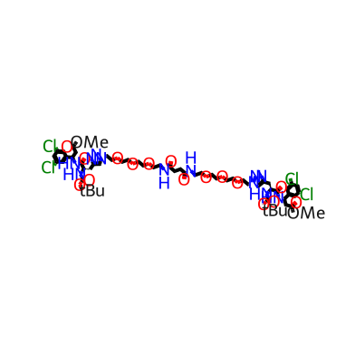 COC(=O)CC(NC(=O)[C@H](Cc1cn(CCOCCOCCOCCNC(=O)CCC(=O)NCCOCCOCCOCCn2cc(C[C@H](NC(=O)OC(C)(C)C)C(=O)NC(CC(=O)OC)c3cc(Cl)cc(Cl)c3)nn2)nn1)NC(=O)OC(C)(C)C)c1cc(Cl)cc(Cl)c1